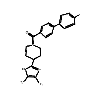 Cc1nc(C2CCN(C(=O)c3ccc(-c4ccc(F)cc4)cc3)CC2)[nH]c1C